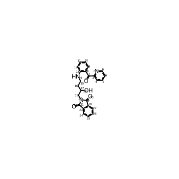 O=C(c1ccccn1)c1ccccc1NCCC(O)CN1C(=O)c2ccccc2C1=O